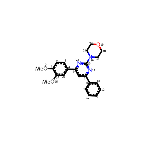 COc1ccc(-c2cc(-c3ccccc3)nc(N3CCOCC3)n2)cc1OC